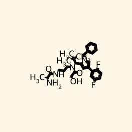 C[C@H](N)C(=O)NCCCN(C(=O)CO)[C@@H](c1cc(-c2cc(F)ccc2F)cn1Cc1ccccc1)C(C)(C)C